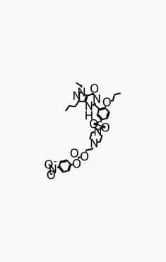 CCCOc1ccc(S(=O)(=O)N2CCN(CCOC(=O)Oc3ccc([N+](=O)[O-])cc3)CC2)cc1-c1nc(=O)c2c([nH]1)c(CCC)nn2CC